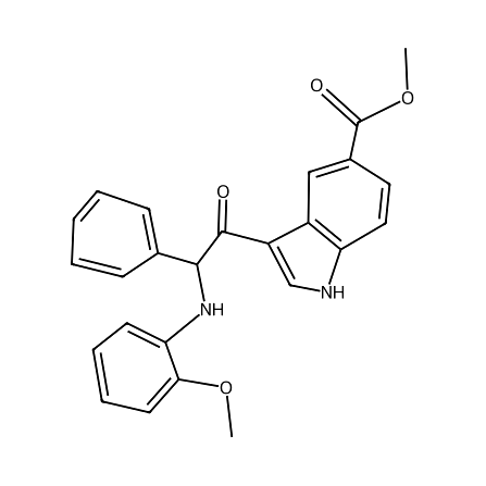 COC(=O)c1ccc2[nH]cc(C(=O)C(Nc3ccccc3OC)c3ccccc3)c2c1